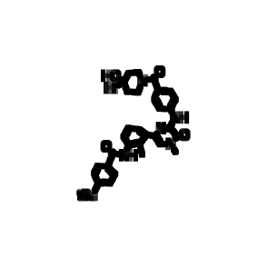 CCC1(O)CCN(C(=O)c2ccc(Nc3nc(-c4cccc(NC(=O)c5ccc(C(C)(C)C)cc5)c4C)cn(C)c3=O)cc2)CC1